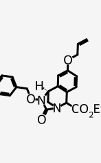 C=CCOc1ccc2c(c1)[C@H]1CN(C(=O)N1OCc1ccccc1)C2C(=O)OCC